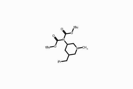 CC(C)CC1CC(N(C(=O)OC(C)(C)C)C(=O)OC(C)(C)C)CN(C)C1